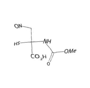 COC(=O)NC(S)(CN=O)C(=O)O